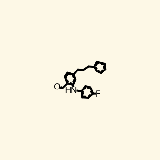 O=Cc1ccc(CCCc2ccccc2)cc1Nc1ccc(F)cc1